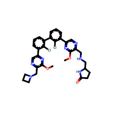 COc1nc(-c2cccc(-c3cccc(-c4cnc(CN5CCC5)c(OC)n4)c3Cl)c2Cl)cnc1CNCC1CCC(=O)N1